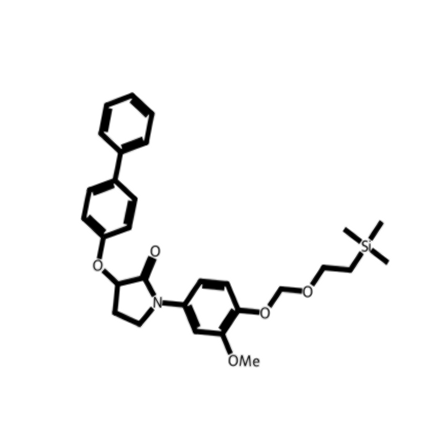 COc1cc(N2CCC(Oc3ccc(-c4ccccc4)cc3)C2=O)ccc1OCOCC[Si](C)(C)C